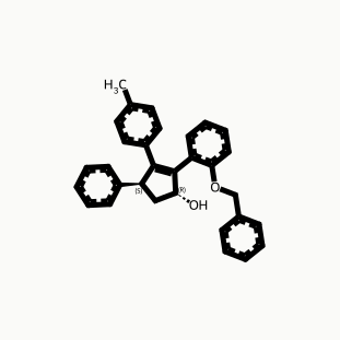 Cc1ccc(C2=C(c3ccccc3OCc3ccccc3)[C@H](O)C[C@H]2c2ccccc2)cc1